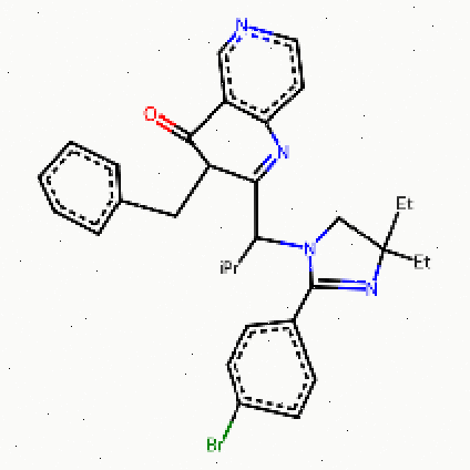 CCC1(CC)CN(C(C2=Nc3ccncc3C(=O)C2Cc2ccccc2)C(C)C)C(c2ccc(Br)cc2)=N1